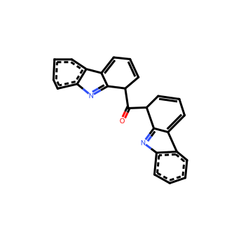 O=C(C1C=CC=C2C1=Nc1ccccc12)C1C=CC=C2C1=Nc1ccccc12